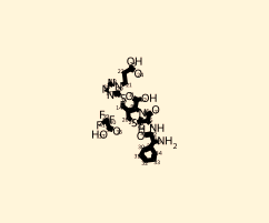 NC(C(=O)NC1C(=O)N2C(C(=O)O)=C(CSc3nnnn3CCC(=O)O)CS[C@@H]12)c1ccccc1.O=C(O)C(F)(F)F